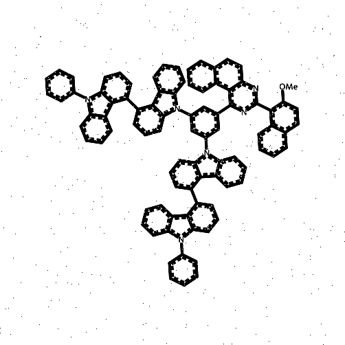 COc1ccc2ccccc2c1-c1nc(-c2cc(-n3c4ccccc4c4c(-c5cccc6c5c5ccccc5n6-c5ccccc5)cccc43)cc(-n3c4ccccc4c4c(-c5cccc6c5c5ccccc5n6-c5ccccc5)cccc43)c2)c2c(ccc3ccccc32)n1